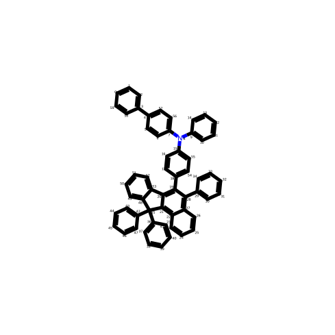 c1ccc(-c2ccc(N(c3ccccc3)c3ccc(-c4c5c(c6ccccc6c4-c4ccccc4)C(c4ccccc4)(c4ccccc4)c4ccccc4-5)cc3)cc2)cc1